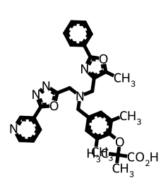 Cc1cc(CN(Cc2nnc(-c3cccnc3)o2)Cc2nc(-c3ccccc3)oc2C)cc(C)c1OC(C)(C)C(=O)O